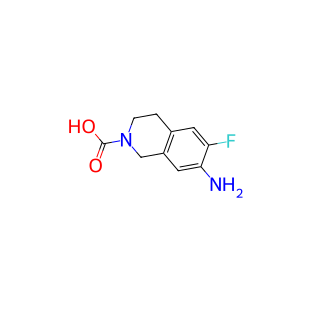 Nc1cc2c(cc1F)CCN(C(=O)O)C2